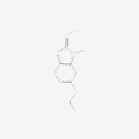 CCOc1ccc2sc(=NN)n(C)c2c1